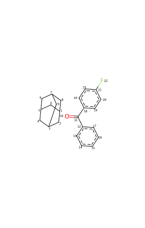 C1C2CC3CC1CC(C2)C3.O=C(c1ccccc1)c1ccc(F)cc1